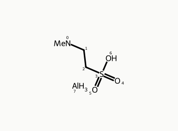 CNCCS(=O)(=O)O.[AlH3]